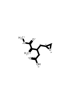 C=C(C(=O)OC)C(CC(=O)O)CC1CO1